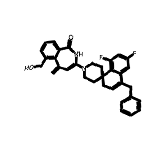 C=C1C=C(N2CCC3(CC=C(Cc4ccccc4)c4cc(F)cc(F)c43)CC2)NC(=O)c2cccc(CO)c21